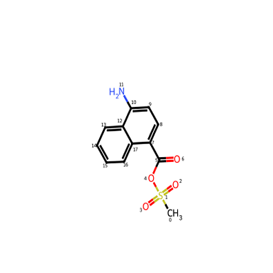 CS(=O)(=O)OC(=O)c1ccc(N)c2ccccc12